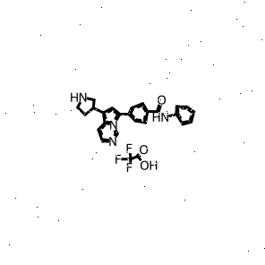 O=C(Nc1ccccc1)c1ccc(-c2cc(C3CCNC3)c3ccncn23)cc1.O=C(O)C(F)(F)F